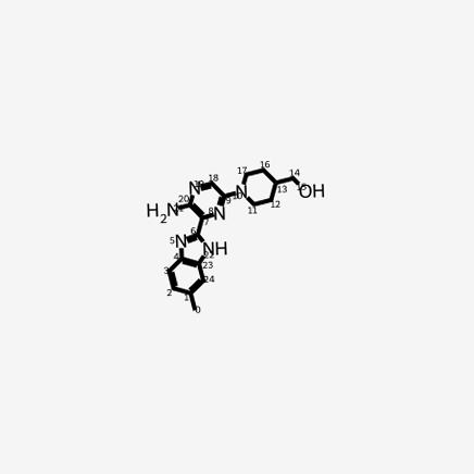 Cc1ccc2nc(-c3nc(N4CCC(CO)CC4)cnc3N)[nH]c2c1